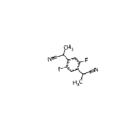 CC(C#N)c1cc(F)c(C(C)C#N)cc1F